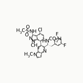 Cn1ccc2nc([C@@H](Cc3cc(F)cc(F)c3)NC(=O)O)c(-c3ccc(Cl)c4c(NS(C)(=O)=O)nn(C)c34)cc21